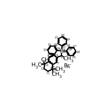 CC(c1ccc2c(c1)C(C)(C)CCC2(C)C)[P+](c1ccccc1)(c1ccccc1)c1ccccc1.[Br-]